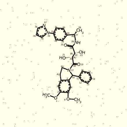 COc1cc2c(cc1OC)C(c1ccccc1)N(C(=O)[C@H](O)[C@@H](O)C(=O)N[C@H](C)c1ccc(-n3cccn3)cc1)CC2